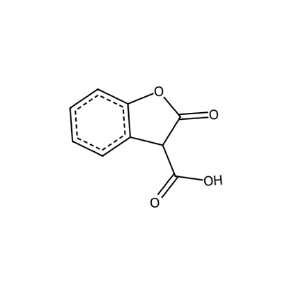 O=C(O)C1C(=O)Oc2ccccc21